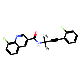 CC(C)C(C)(C#Cc1ccccc1F)NC(=O)c1cnc2c(F)cccc2c1